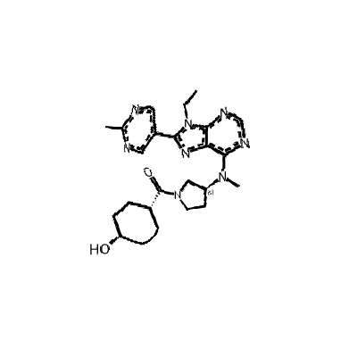 CCn1c(-c2cnc(C)nc2)nc2c(N(C)[C@H]3CCN(C(=O)[C@H]4CC[C@H](O)CC4)C3)ncnc21